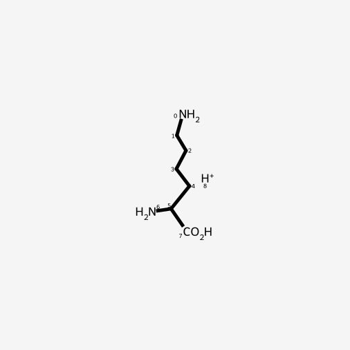 NCCCCC(N)C(=O)O.[H+]